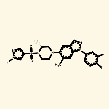 CCCn1cc(S(=O)(=O)N2CCN(c3cc4cnn(-c5ccc(F)c(F)c5)c4cc3C)C[C@H]2C)cn1